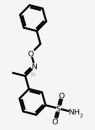 C/C(=N\OCc1ccccc1)c1cccc(S(N)(=O)=O)c1